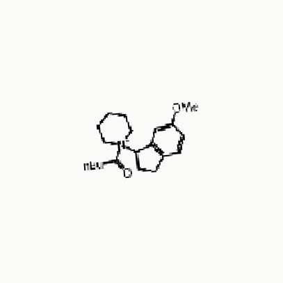 CCCCC(=O)[N+]1(C2CCc3ccc(OC)cc32)CCCCC1